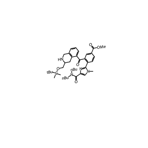 CCCCN(CCCC)C(=O)c1cn(C)c(-c2ccc(C(=O)OC)cc2C(=O)c2cccc3c2CC(CO[Si](C)(C)C(C)(C)C)NC3)n1